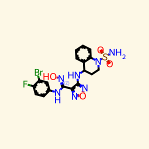 NS(=O)(=O)N1CCC(Nc2nonc2/C(=N/O)Nc2ccc(F)c(Br)c2)c2ccccc21